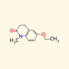 CCOc1ccc2c(c1)CCC(=O)N2C